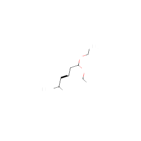 CCOC(CC=CC(C)C)OCC